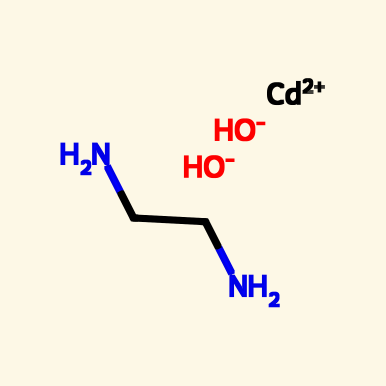 NCCN.[Cd+2].[OH-].[OH-]